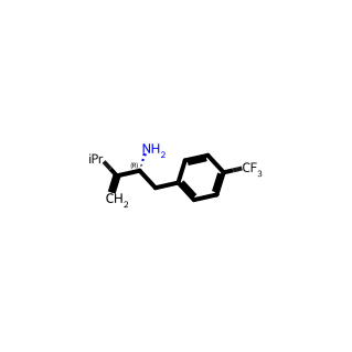 C=C(C(C)C)[C@H](N)Cc1ccc(C(F)(F)F)cc1